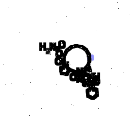 NC(=O)OC1CCCCC/C=C\C2CC2(C(=O)NS(=O)(=O)N2CCCCC2)NC(=O)C2CCCN2C1=O